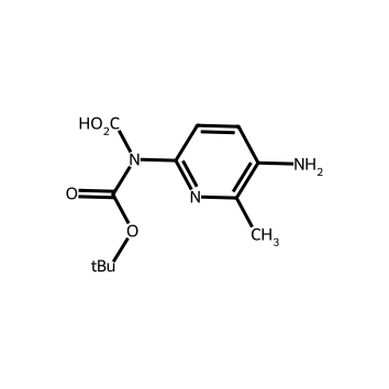 Cc1nc(N(C(=O)O)C(=O)OC(C)(C)C)ccc1N